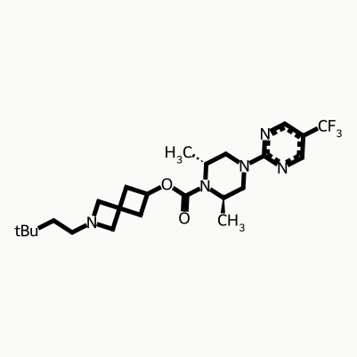 C[C@@H]1CN(c2ncc(C(F)(F)F)cn2)C[C@@H](C)N1C(=O)OC1CC2(C1)CN(CCC(C)(C)C)C2